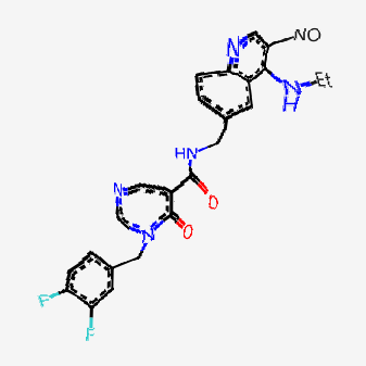 CCNc1c(N=O)cnc2ccc(CNC(=O)c3cncn(Cc4ccc(F)c(F)c4)c3=O)cc12